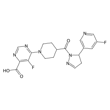 O=C(O)c1ncnc(N2CCC(C(=O)N3N=CCC3c3cncc(F)c3)CC2)c1F